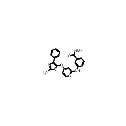 CNC(=O)c1cccc(Nc2cc(Oc3sc(N)nc3-c3ccccc3)ccn2)c1